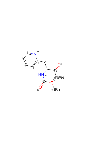 CNC(=O)C(Cc1ccccn1)NC(=O)OC(C)(C)C